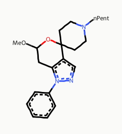 CCCCCN1CCC2(CC1)OC(OC)Cc1c2cnn1-c1ccccc1